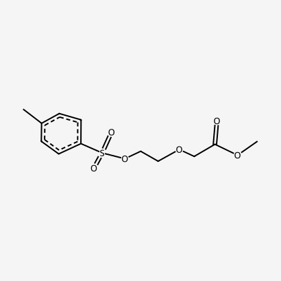 COC(=O)COCCOS(=O)(=O)c1ccc(C)cc1